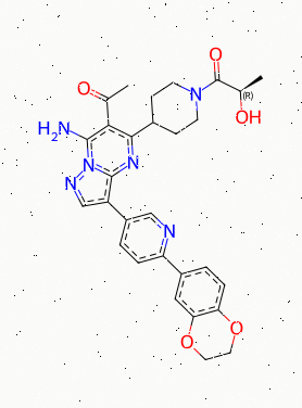 CC(=O)c1c(C2CCN(C(=O)[C@@H](C)O)CC2)nc2c(-c3ccc(-c4ccc5c(c4)OCCO5)nc3)cnn2c1N